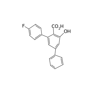 O=C(O)c1c(O)cc(-c2ccccc2)cc1-c1ccc(F)cc1